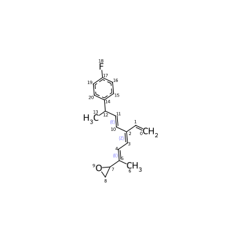 C=CC(=C/C=C(\C)C1CO1)/C=C/C(C)c1ccc(F)cc1